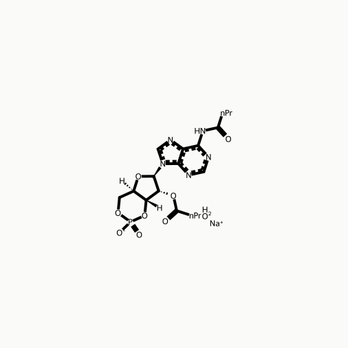 CCCC(=O)Nc1ncnc2c1ncn2[C@@H]1O[C@@H]2COP(=O)([O-])O[C@H]2[C@H]1OC(=O)CCC.O.[Na+]